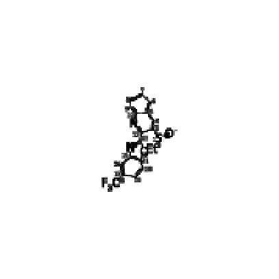 CC[S+]([O-])c1cc2ccccc2nc1-c1nc2cc(C(F)(F)F)ccc2o1